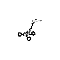 CCCCCCCCCCCCCCCCCn1cc(CC(C)c2ccccc2)[n+](Cc2ccccc2)c1Cc1ccccc1